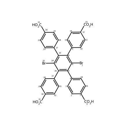 O=C(O)c1ccc(-c2c(Br)c(-c3ccc(C(=O)O)cc3)c(-c3ccc(C(=O)O)cc3)c(Br)c2-c2ccc(C(=O)O)cc2)cc1